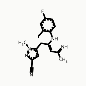 CC(=N)/C=C(/Cc1cc(C#N)nn1C)Nc1ccc(F)cc1I